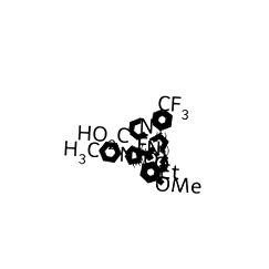 CCOC[C@@H]1C[C@@H](c2ccc(C(F)(F)F)cc2N2CCC(C(=O)O)CC2)CN1C(=O)[C@]1(F)CN([C@H]2CC[C@H](C)CC2)C[C@H]1c1ccc(OC)cc1